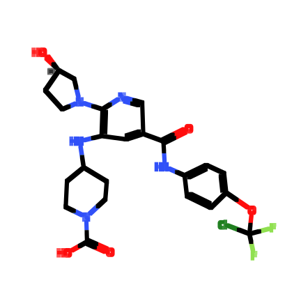 O=C(Nc1ccc(OC(F)(F)Cl)cc1)c1cnc(N2CC[C@@H](O)C2)c(NC2CCN(C(=O)O)CC2)c1